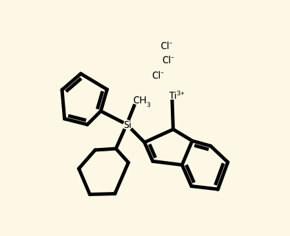 C[Si](C1=Cc2ccccc2[CH]1[Ti+3])(c1ccccc1)C1CCCCC1.[Cl-].[Cl-].[Cl-]